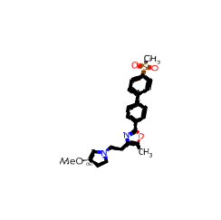 CO[C@H]1CCN(CCc2nc(-c3ccc(-c4ccc(S(C)(=O)=O)cc4)cc3)oc2C)C1